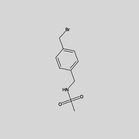 CS(=O)(=O)NCc1ccc(CBr)cc1